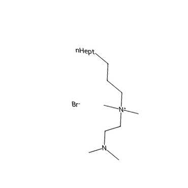 CCCCCCCCCC[N+](C)(C)CCN(C)C.[Br-]